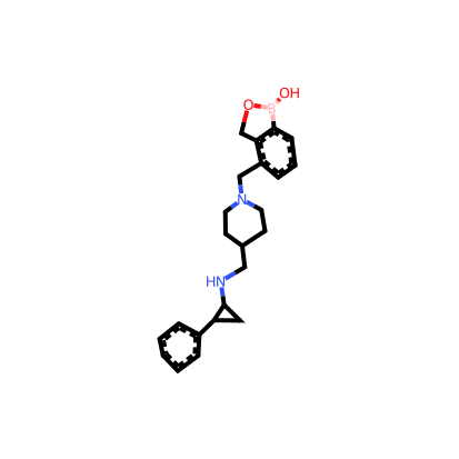 OB1OCc2c(CN3CCC(CNC4CC4c4ccccc4)CC3)cccc21